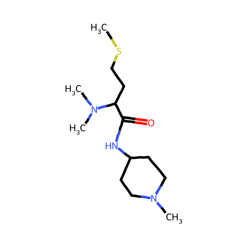 CSCCC(C(=O)NC1CCN(C)CC1)N(C)C